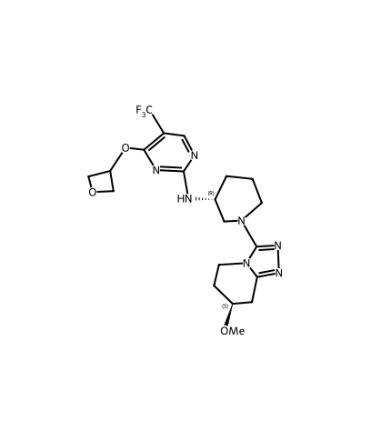 CO[C@H]1CCn2c(nnc2N2CCC[C@@H](Nc3ncc(C(F)(F)F)c(OC4COC4)n3)C2)C1